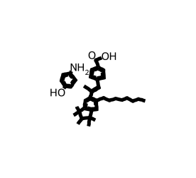 CCCCCCCCc1cc2c(cc1C(C)=Cc1ccc(C(=O)O)cc1)C(C)(C)C(C)C2(C)C.Nc1ccc(O)cc1